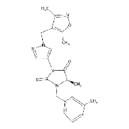 Cc1cccc(CN2C(=O)N(c3cnn(Cc4c(C)noc4C)c3)C(=O)[C@H]2C)c1